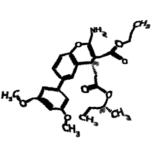 CCOC(=O)C1=C(N)Oc2ccc(-c3cc(OC)cc(OC)c3)cc2[C@H]1CC(=O)O[C@H](C)CC